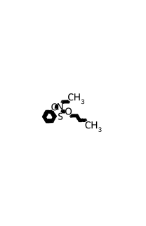 CCCCCOC(=S)N(CCC)Oc1ccccc1